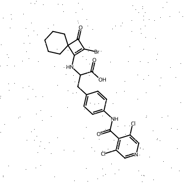 O=C(Nc1ccc(CC(NC2=C(Br)C(=O)C23CCCCC3)C(=O)O)cc1)c1c(Cl)cncc1Cl